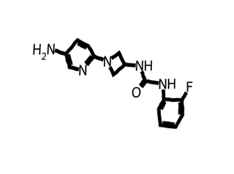 Nc1ccc(N2CC(NC(=O)Nc3ccccc3F)C2)nc1